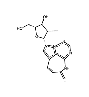 C[C@H]1[C@H](O)[C@@H](CO)O[C@H]1c1cc2c3c(ncnn13)NC(=O)C=C2